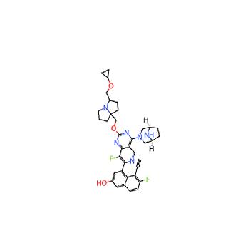 C#Cc1c(F)ccc2cc(O)cc(-c3ncc4c(N5C[C@H]6CC[C@@H](C5)N6)nc(OCC56CCCN5C(COC5CC5)CC6)nc4c3F)c12